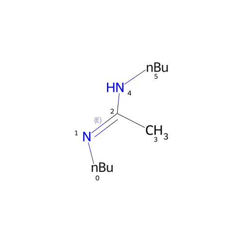 CCCC/N=C(\C)NCCCC